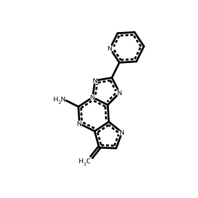 C=c1cnc2c1nc(N)n1nc(-c3ccccn3)nc21